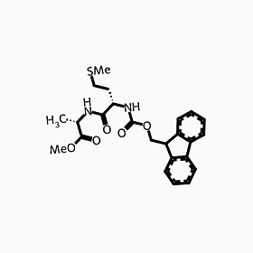 COC(=O)[C@H](C)NC(=O)[C@H](CCSC)NC(=O)OCC1c2ccccc2-c2ccccc21